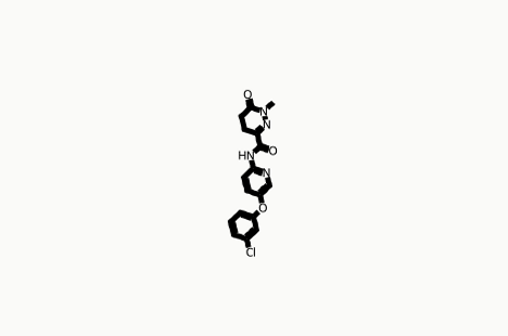 CN1N=C(C(=O)Nc2ccc(Oc3cccc(Cl)c3)cn2)CCC1=O